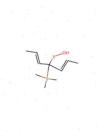 CC=CC(C=CC)(SO)S(C)(C)C